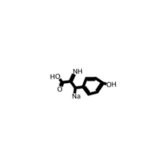 N=C(C(=O)O)[CH]([Na])c1ccc(O)cc1